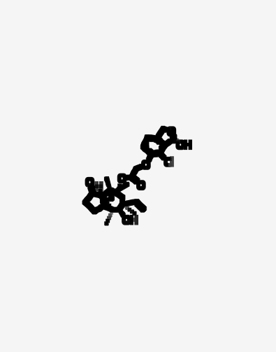 C=C[C@]1(C)C[C@@H](OC(=O)COc2ccc3c(c2Cl)B(O)OC3)[C@]2(C)[C@H](C)CC[C@]3(CCC(=O)[C@H]32)[C@@H](C)[C@@H]1O